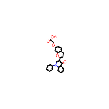 O=C(O)COc1ccc2c(c1)OC(c1cn(-c3ccccc3)c3ccccc3c1=O)=CC2